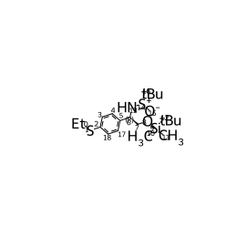 CCSc1ccc([C@H](CO[Si](C)(C)C(C)(C)C)N[S+]([O-])C(C)(C)C)cc1